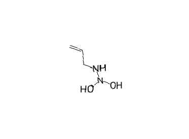 C=CCNN(O)O